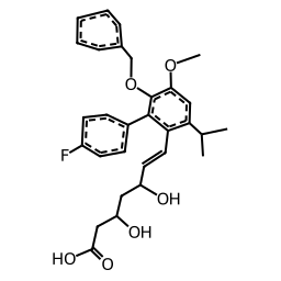 COc1cc(C(C)C)c(C=CC(O)CC(O)CC(=O)O)c(-c2ccc(F)cc2)c1OCc1ccccc1